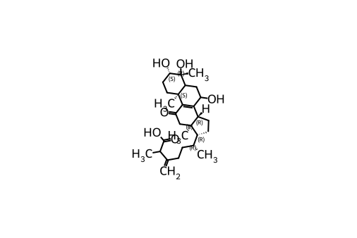 C=C(CC[C@@H](C)[C@H]1CC[C@H]2C3=C(C(=O)C[C@]12C)[C@@]1(C)CC[C@H](O)[C@](C)(O)C1CC3O)C(C)C(=O)O